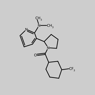 CN(C)c1ncccc1C1CCCN1C(=O)C1CCCC(C(F)(F)F)C1